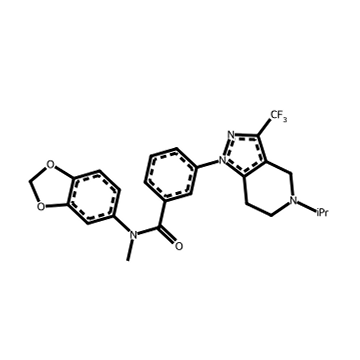 CC(C)N1CCc2c(c(C(F)(F)F)nn2-c2cccc(C(=O)N(C)c3ccc4c(c3)OCO4)c2)C1